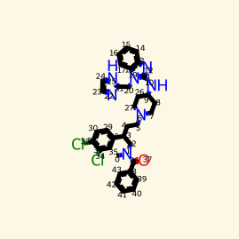 CN(CC(CCN1CCC(Nc2nc3ccccc3n2Cc2ncc[nH]2)CC1)c1ccc(Cl)c(Cl)c1)C(=O)c1ccccc1